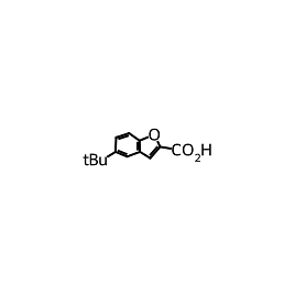 CC(C)(C)c1ccc2oc(C(=O)O)cc2c1